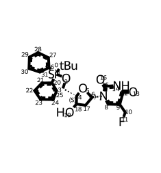 CC(C)(C)[Si](OC[C@@H]1O[C@H](n2cc(CF)c(=O)[nH]c2=O)CC1O)(c1ccccc1)c1ccccc1